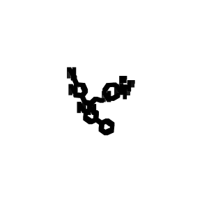 N#Cc1ccc(-c2nc3ccc(-c4ccccc4)cn3c2CCN2CCCN(C(F)(F)F)CC2)cn1